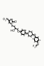 O=[N+]([O-])c1cn(CCC(O)COc2ccc(N3CCC(Oc4ccc(OC(F)(F)F)cc4)CC3)nc2)c(Cl)n1